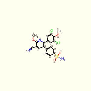 COc1nc(-c2cc(Cl)c(OC)c(Cl)c2)c(-c2ccc(S(N)(=O)=O)cc2)cc1C#N